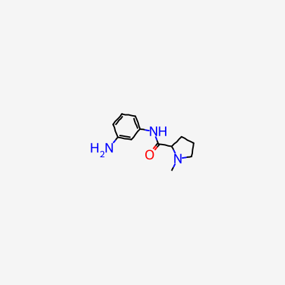 CN1CCCC1C(=O)Nc1cccc(N)c1